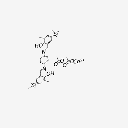 CC(=O)[O-].CC(=O)[O-].Cc1cc([Si](C)(C)C)cc(C=Nc2ccc(N=Cc3cc([Si](C)(C)C)cc(C)c3O)cc2)c1O.[Co+2]